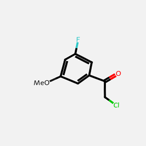 COc1cc(F)cc(C(=O)CCl)c1